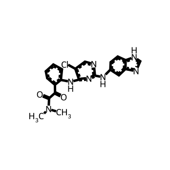 CN(C)C(=O)C(=O)c1ccccc1Nc1nc(Nc2ccc3[nH]cnc3c2)ncc1Cl